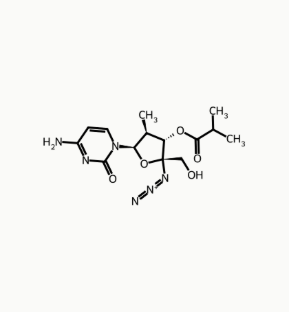 CC(C)C(=O)O[C@H]1[C@H](C)[C@H](n2ccc(N)nc2=O)O[C@@]1(CO)N=[N+]=[N-]